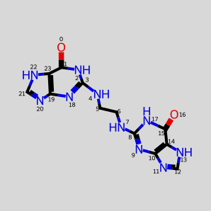 O=c1[nH]c(NCCNc2nc3nc[nH]c3c(=O)[nH]2)nc2nc[nH]c12